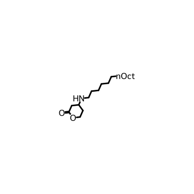 CCCCCCCCCCCCCCNC1CCOC(=O)C1